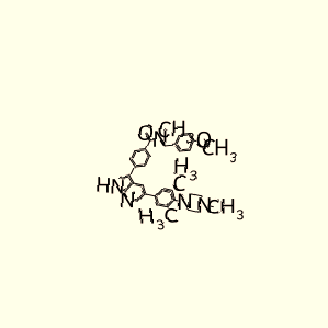 COc1ccc(CN(C)C(=O)c2ccc(-c3c[nH]c4ncc(-c5cc(C)c(N6CCN(C)CC6)c(C)c5)cc34)cc2)cc1